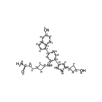 N#Cc1cnn2c(-c3cc(NC4CC(COC(N)=O)C4)c(-c4cn(C5CC(O)C5)nn4)cn3)ccc2c1